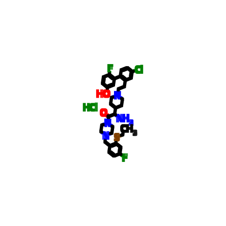 CCSc1cc(F)ccc1CN1CCN(C(=O)C(N)C2CCN(CCc3cc(Cl)ccc3-c3cc(O)ccc3F)CC2)CC1.Cl